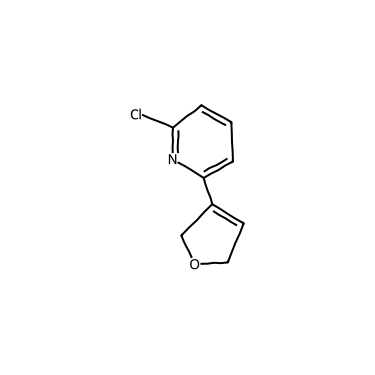 Clc1cccc(C2=CCOC2)n1